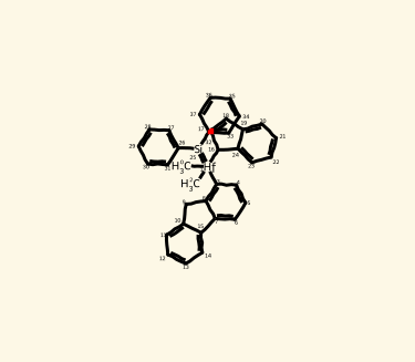 [CH3][Hf]([CH3])([c]1cccc2c1Cc1ccccc1-2)([CH]1C=Cc2ccccc21)=[Si](c1ccccc1)c1ccccc1